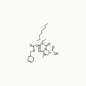 CCCCCCCC[C@H](N[C@@H](CC)C(=O)N1C(=O)N(C)C[C@H]1C(=O)O)C(=O)OCc1ccccc1